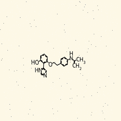 C=C(C)Nc1ccc(CCOc2cccc(O)c2-c2cnc[nH]2)cc1